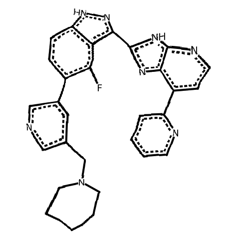 Fc1c(-c2cncc(CN3CCCCC3)c2)ccc2[nH]nc(-c3nc4c(-c5ccccn5)ccnc4[nH]3)c12